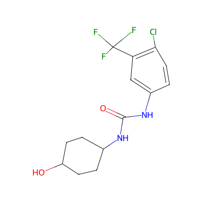 O=C(Nc1ccc(Cl)c(C(F)(F)F)c1)NC1CCC(O)CC1